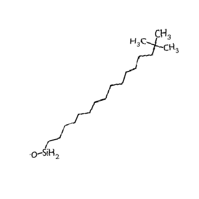 CC(C)(C)CCCCCCCCCCCCCC[SiH2][O]